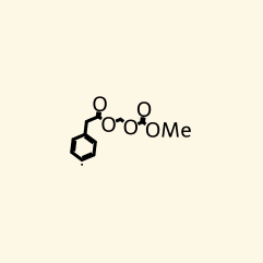 COC(=O)OCOC(=O)Cc1cc[c]cc1